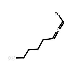 CCC=C=CCCCCC=O